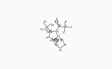 CC(C)(C)C(=O)C1C2C3CCC(N3)C2CN1C(C)(C)C